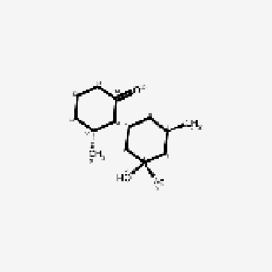 CC(=O)[C@@]1(O)CCC[C@@H](C)C1.C[C@@H]1CCCC(=O)C1